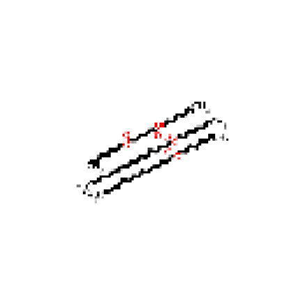 CCCCCCCCCCCCCCCC(=O)OCCCCCCCC.CCCCCCCCCCCCCCCCCC(=O)OCCCCCCCC.CCCCCCCCOC(=O)CCCCC(=O)OCCCCCCCC